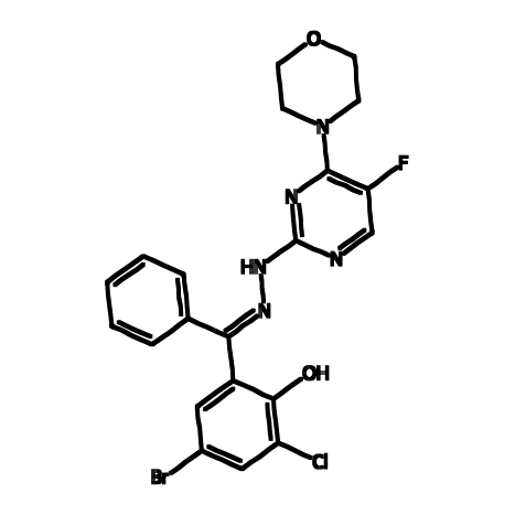 Oc1c(Cl)cc(Br)cc1/C(=N/Nc1ncc(F)c(N2CCOCC2)n1)c1ccccc1